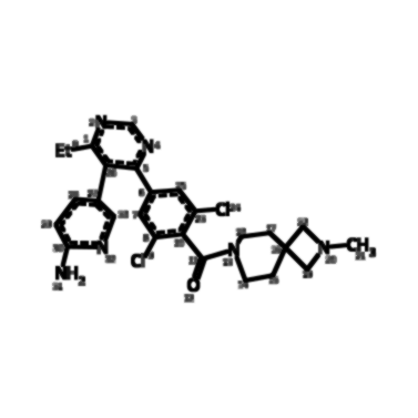 CCc1ncnc(-c2cc(Cl)c(C(=O)N3CCC4(CC3)CN(C)C4)c(Cl)c2)c1-c1ccc(N)nc1